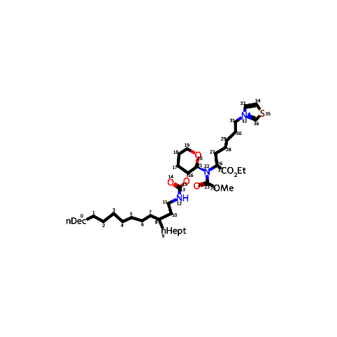 CCCCCCCCCCCCCCCCCC(CCCCCCC)CCNC(=O)O[C@@H]1CCCO[C@H]1N(C(=O)OC)C(CCCCC[n+]1ccsc1)C(=O)OCC